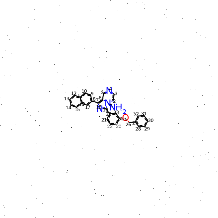 N[N+]12C=CN=CC1=C(c1ccc3ccccc3c1)N=C2c1cccc(OCc2ccccc2)c1